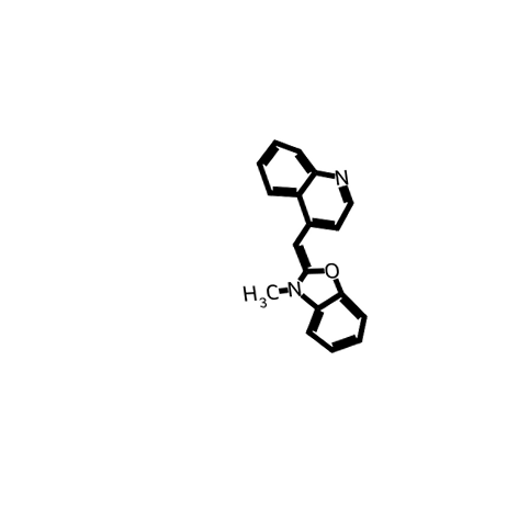 CN1/C(=C/c2ccnc3ccccc23)Oc2ccccc21